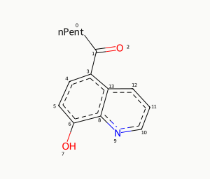 CCCCCC(=O)c1ccc(O)c2ncccc12